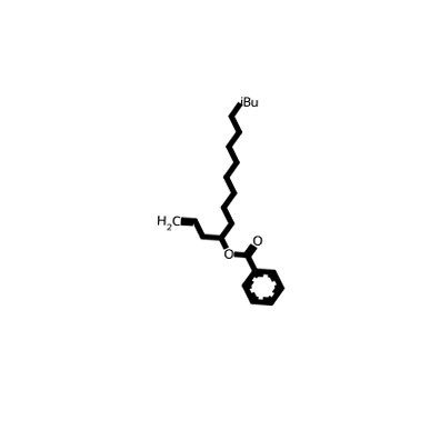 C=CCC(CCCCCCCCC(C)CC)OC(=O)c1ccccc1